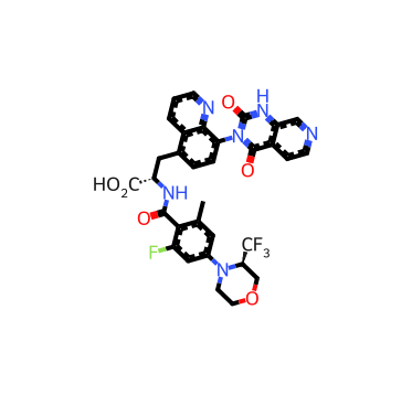 Cc1cc(N2CCOC[C@@H]2C(F)(F)F)cc(F)c1C(=O)N[C@@H](Cc1ccc(-n2c(=O)[nH]c3cnccc3c2=O)c2ncccc12)C(=O)O